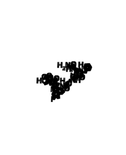 CC[C@@]1(O)C(=O)OCc2c1cc1n(c2=O)Cc2c-1nc1cc(F)c(C)c3c1c2[C@@H](NC(=O)COCNC(=O)CNC(=O)[C@H](Cc1ccccc1)NC(=O)CNC(=O)CN)CC3